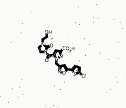 O=C(O)c1cc(C(=O)N2CCN(CCO)C2=O)n(Cc2cc(-c3ccc(Cl)s3)on2)n1